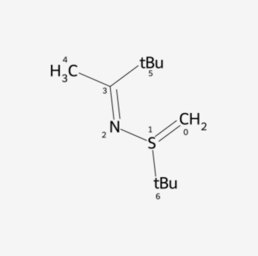 C=S(/N=C(/C)C(C)(C)C)C(C)(C)C